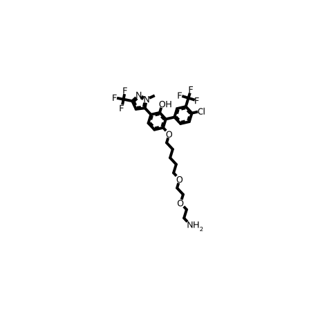 Cn1nc(C(F)(F)F)cc1-c1ccc(OCCCCCOCCOCCN)c(-c2ccc(Cl)c(C(F)(F)F)c2)c1O